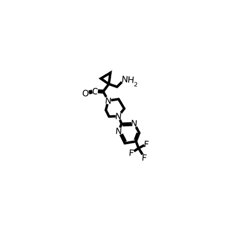 NCC1(C(=C=O)N2CCN(c3ncc(C(F)(F)F)cn3)CC2)CC1